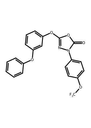 O=c1oc(Oc2cccc(Oc3ccccc3)c2)nn1-c1ccc(OC(F)(F)F)cc1